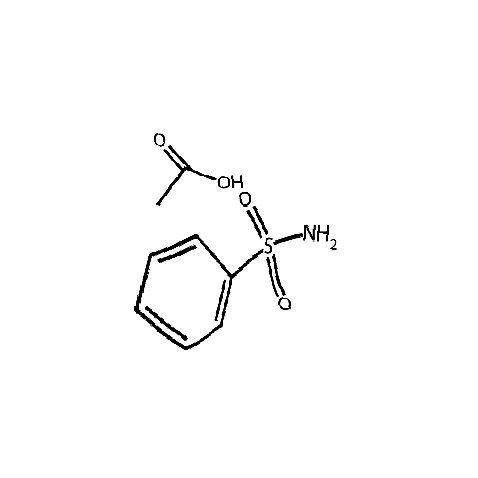 CC(=O)O.NS(=O)(=O)c1ccccc1